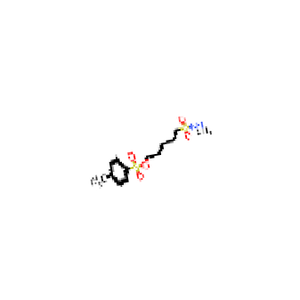 CNS(=O)(=O)CCCCCOS(=O)(=O)c1ccc(C)cc1